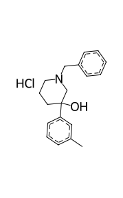 Cc1cccc(C2(O)CCCN(Cc3ccccc3)C2)c1.Cl